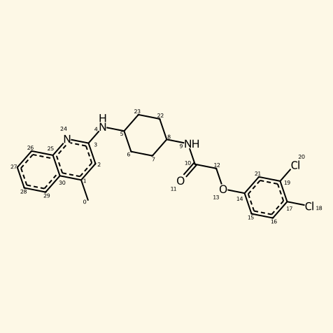 Cc1cc(NC2CCC(NC(=O)COc3ccc(Cl)c(Cl)c3)CC2)nc2ccccc12